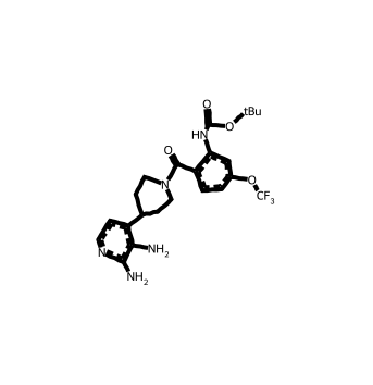 CC(C)(C)OC(=O)Nc1cc(OC(F)(F)F)ccc1C(=O)N1CCC(c2ccnc(N)c2N)CC1